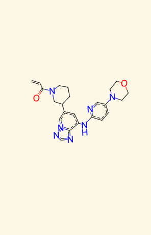 C=CC(=O)N1CCCC(c2cc(Nc3ccc(N4CCOCC4)cn3)c3ncnn3c2)C1